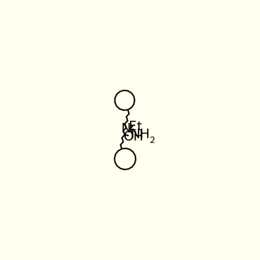 CCC(CN)N(CCCCC1CCCCCCCCCCCCCC1)CC(O)CCCC1CCCCCCCCCCCCCCC1